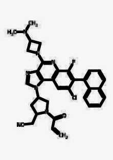 C=CC(=O)N1CC(n2cnc3c(N4CC(N(C)C)C4)nc4c(F)c(-c5cccc6ccccc56)c(Cl)cc4c32)CC1CC#N